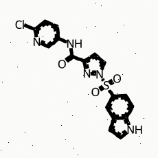 O=C(Nc1ccc(Cl)nc1)c1ccn(S(=O)(=O)c2ccc3[nH]ccc3c2)n1